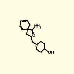 NC(=O)C1(CCCN2CCC(O)CC2)C=CC=CC1